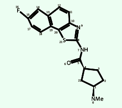 CN[C@@H]1CC[C@H](C(=O)Nc2nc3ccc4cc(F)ccc4c3s2)C1